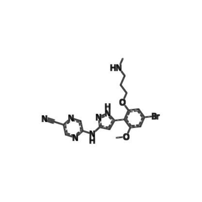 CNCCCOc1cc(Br)cc(OC)c1-c1cc(Nc2cnc(C#N)cn2)n[nH]1